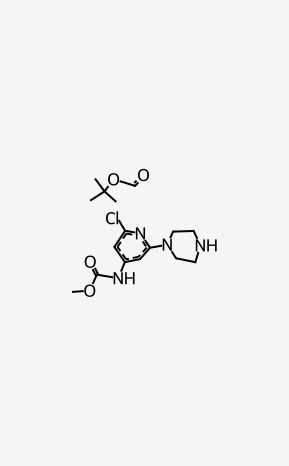 CC(C)(C)OC=O.COC(=O)Nc1cc(Cl)nc(N2CCNCC2)c1